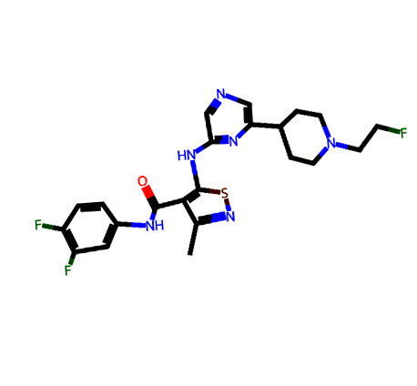 Cc1nsc(Nc2cncc(C3CCN(CCF)CC3)n2)c1C(=O)Nc1ccc(F)c(F)c1